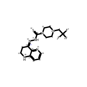 FC(F)(F)CN1CCN(C(=S)N/N=C2/CCNc3cccnc32)CC1